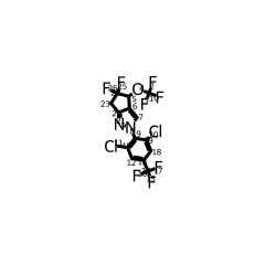 FC(F)(F)OC1c2cn(-c3c(Cl)cc(C(F)(F)F)cc3Cl)nc2CC1(F)F